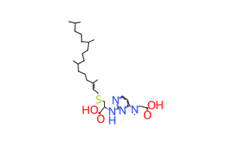 C/C(=C\CSCC(Nc1nccc(N(C)CC(=O)O)n1)C(=O)O)CCCC(C)CCCC(C)CCCC(C)C